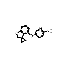 O=Nc1ccc(Oc2cccc3c2C2(CC2)CO3)cn1